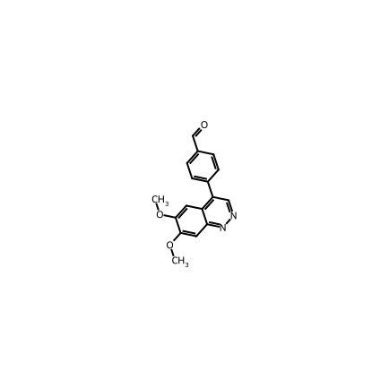 COc1cc2nncc(-c3ccc(C=O)cc3)c2cc1OC